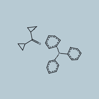 O=C(C1CC1)C1CC1.c1ccc(P(c2ccccc2)c2ccccc2)cc1